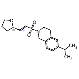 CC(C)c1ccc2c(c1)CCN(S(=O)(=O)/C=C/[C@H]1CCCO1)C2